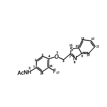 CC(=O)Nc1ccc(OCc2nc3ccccc3s2)c(F)c1